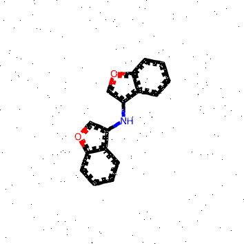 c1ccc2c(Nc3coc4ccccc34)coc2c1